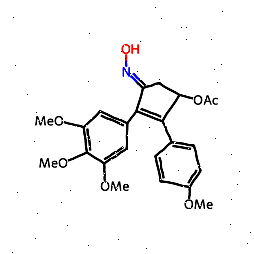 COc1ccc(C2=C(c3cc(OC)c(OC)c(OC)c3)/C(=N/O)CC2OC(C)=O)cc1